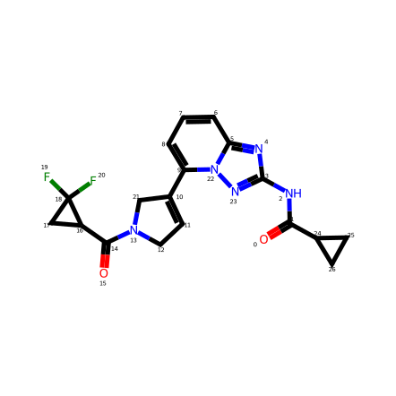 O=C(Nc1nc2cccc(C3=CCN(C(=O)C4CC4(F)F)C3)n2n1)C1CC1